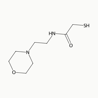 O=C(CS)NCCN1CCOCC1